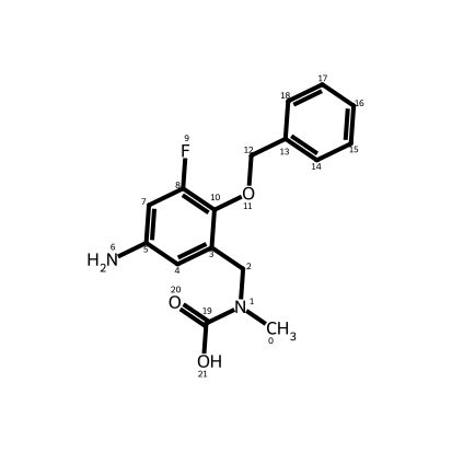 CN(Cc1cc(N)cc(F)c1OCc1ccccc1)C(=O)O